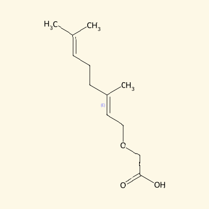 CC(C)=CCC/C(C)=C/COCC(=O)O